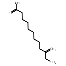 [CH2]CC(=C)CCCCCCCCC(=O)O